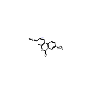 C=C=C/C=C\c1c(C)oc(=O)c2cc([N+](=O)[O-])ccc12